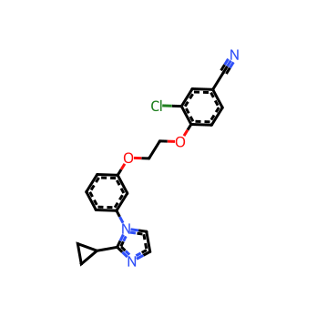 N#Cc1ccc(OCCOc2cccc(-n3ccnc3C3CC3)c2)c(Cl)c1